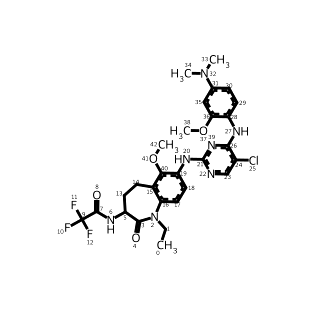 CCN1C(=O)C(NC(=O)C(F)(F)F)CCc2c1ccc(Nc1ncc(Cl)c(Nc3ccc(N(C)C)cc3OC)n1)c2OC